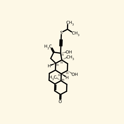 C=C1C[C@H]2C3CCC4=CC(=O)CC[C@]4(C)[C@H]3[C@@H](O)C[C@]2(C)[C@]1(O)C#CSC(C)C